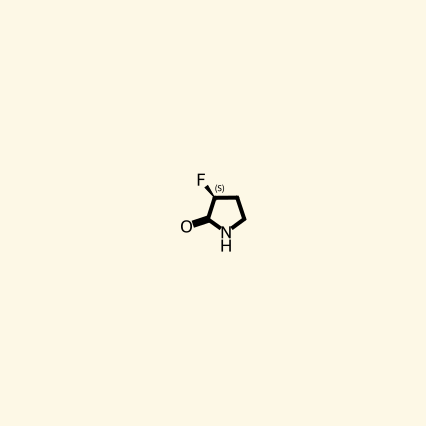 O=C1NCC[C@@H]1F